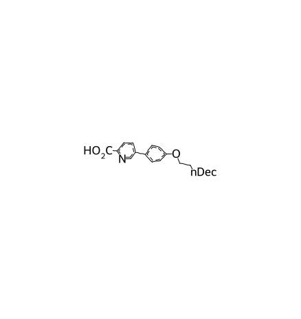 CCCCCCCCCCCCOc1ccc(-c2ccc(C(=O)O)nc2)cc1